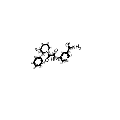 C[C@H]1CCCN(C(=O)C(=O)Nc2cncc(C(N)=O)c2)[C@@H]1c1ccccc1